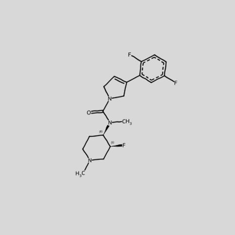 CN1CC[C@@H](N(C)C(=O)N2CC=C(c3cc(F)ccc3F)C2)[C@@H](F)C1